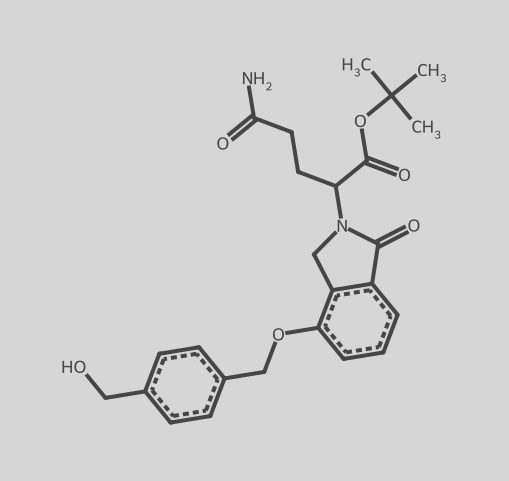 CC(C)(C)OC(=O)C(CCC(N)=O)N1Cc2c(OCc3ccc(CO)cc3)cccc2C1=O